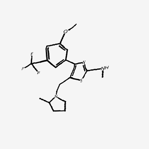 CNc1nc(-c2cc(OC)cc(C(F)(F)F)c2)c(CN2CCCC2C)s1